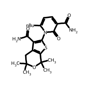 CCCCc1ccc(C(N)=O)c(=O)n1-c1sc2c(c1C(N)=O)CC(C)(C)OC2(C)C